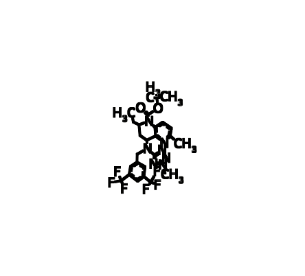 CCC1CC(N(Cc2cc(C(F)(F)F)cc(C(F)(F)F)c2)c2nnn(C)n2)c2nc(C)ccc2N1C(=O)OC(C)C